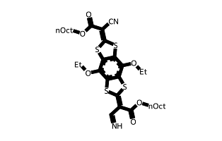 CCCCCCCCOC(=O)C(C#N)=C1Sc2c(OCC)c3c(c(OCC)c2S1)SC(=C(C=N)C(=O)OCCCCCCCC)S3